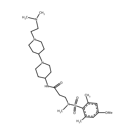 COc1cc(C)c(S(=O)(=O)N(C)CCC(=O)NC2CCN(C3CCN(CCN(C)C)CC3)CC2)c(C)c1